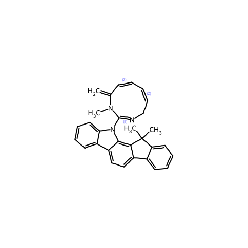 C=C1/C=C\C=C/C/N=C(/n2c3ccccc3c3ccc4c(c32)C(C)(C)c2ccccc2-4)N1C